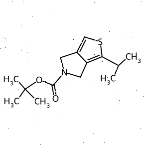 CC(C)c1scc2c1CN(C(=O)OC(C)(C)C)C2